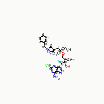 CO[C@H](COC(Cc1cnn(Cc2ccccc2)c1)(C(=O)O)C(=O)O)[C@@H](O)[C@H](F)n1cnc2c(N)nc(Cl)nc21